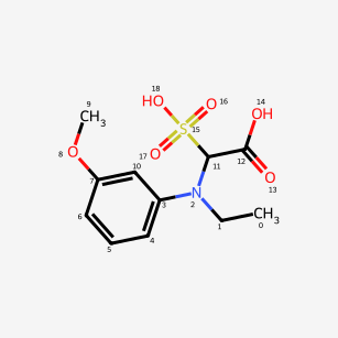 CCN(c1cccc(OC)c1)C(C(=O)O)S(=O)(=O)O